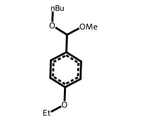 CCCCOC(OC)c1ccc(OCC)cc1